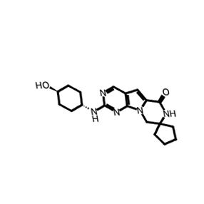 O=C1NC2(CCCC2)Cn2c1cc1cnc(N[C@H]3CC[C@H](O)CC3)nc12